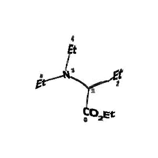 CCOC(=O)C(CC)N(CC)CC